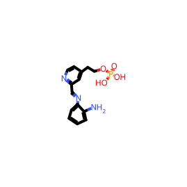 Nc1ccccc1/N=C/c1cc(CCOP(=O)(O)O)ccn1